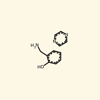 NCc1ccccc1O.c1cnccn1